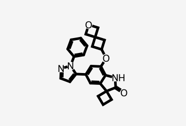 O=C1Nc2c(OC3CC4(COC4)C3)cc(-c3ccnn3-c3ccccc3)cc2C12CCC2